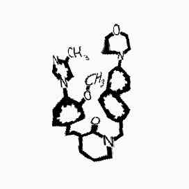 COc1cc(C=C2CCCN(Cc3ccc4cc(N5CCOCC5)ccc4c3)C2=O)ccc1-n1cnc(C)c1